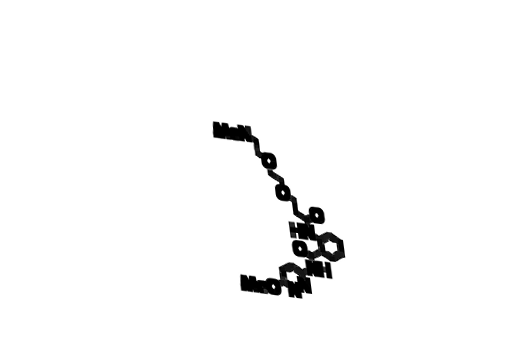 CNCCOCCOCCC(=O)Nc1ccccc1C(=O)Nc1ccc(OC)nn1